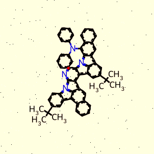 CC(C)(C)c1ccc2c(c1)c1c3ccccc3cc3c4c5c6cc(C(C)(C)C)cc7c8cc9ccccc9c(N(c9ccccc9)c9ccccc9)c8n(c5cnc4n2c31)c76